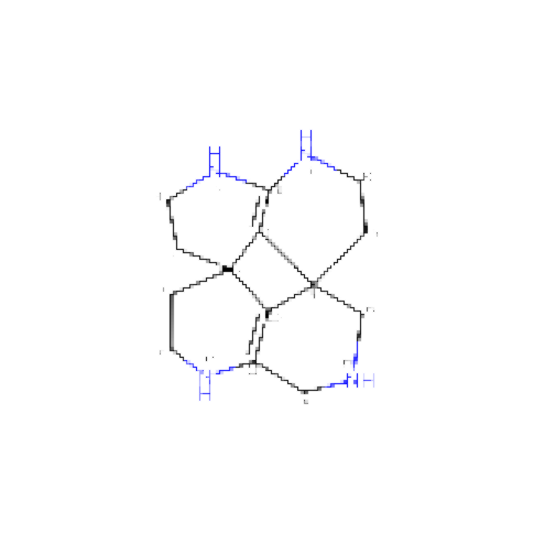 C1CC23CCNC4=C2C2(CCN4)CNCC(=C32)N1